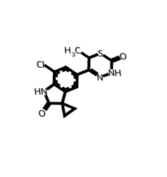 CC1SC(=O)NN=C1c1cc(Cl)c2c(c1)C1(CC1)C(=O)N2